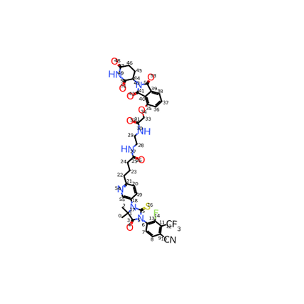 CC1(C)C(=O)N(c2ccc(C#N)c(C(F)(F)F)c2F)C(=S)N1c1ccc(CCCC(=O)NCCNC(=O)COc2cccc3c2C(=O)N(C2CCC(=O)NC2=O)C3=O)nc1